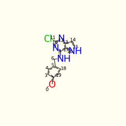 COc1ccc(CNc2nc(Cl)nc3cc[nH]c23)cc1